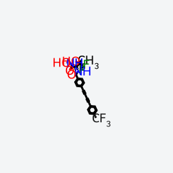 CC(O)(C(F)F)[C@H](NC(=O)c1ccc(C#CC#Cc2ccc(C(F)(F)F)cc2)cc1)C(=O)NO